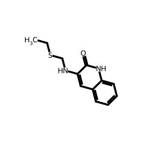 CCSCNc1cc2ccccc2[nH]c1=O